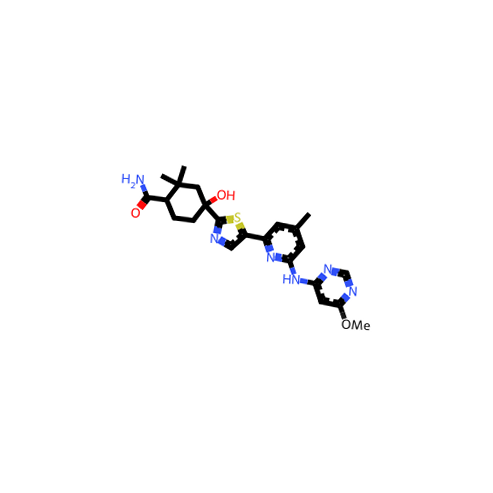 COc1cc(Nc2cc(C)cc(-c3cnc(C4(O)CCC(C(N)=O)C(C)(C)C4)s3)n2)ncn1